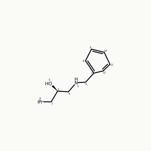 CC(C)C[C@@H](O)CNCc1ccccc1